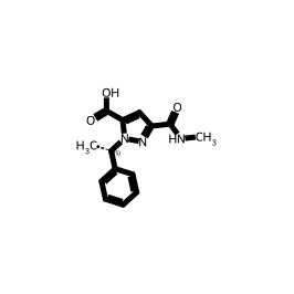 CNC(=O)c1cc(C(=O)O)n([C@@H](C)c2ccccc2)n1